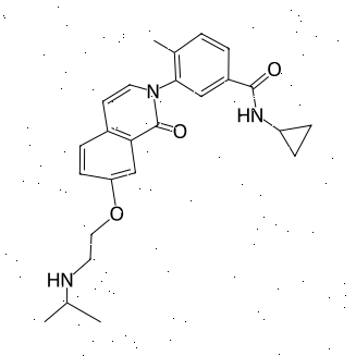 Cc1ccc(C(=O)NC2CC2)cc1-n1ccc2ccc(OCCNC(C)C)cc2c1=O